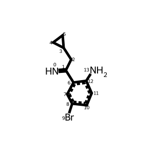 N=C(CC1CC1)c1cc(Br)ccc1N